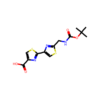 CC(C)(C)OC(=O)NCc1nc(-c2nc(C(=O)O)cs2)cs1